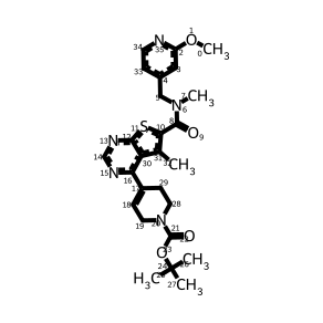 COc1cc(CN(C)C(=O)c2sc3ncnc(C4=CCN(C(=O)OC(C)(C)C)CC4)c3c2C)ccn1